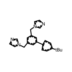 CC(C)(C)c1ccc(-c2cc(Cn3ccnc3)cc(Cn3ccnc3)c2)cc1